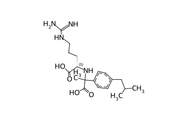 CC(C)Cc1ccc(C(C)(N[C@@H](CCCNC(=N)N)C(=O)O)C(=O)O)cc1